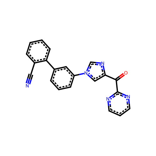 N#Cc1ccccc1-c1cccc(-n2cnc(C(=O)c3ncccn3)c2)c1